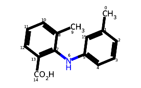 Cc1cccc(Nc2c(C)cccc2C(=O)O)c1